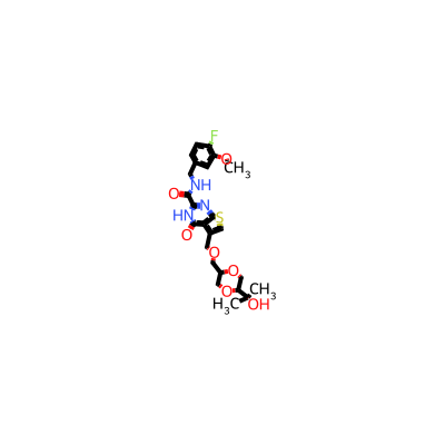 COc1cc(CNC(=O)c2nc3scc(COCC4COC(C(C)(C)O)CO4)c3c(=O)[nH]2)ccc1F